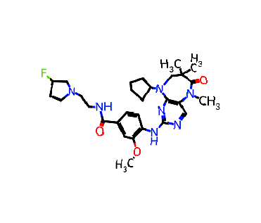 COc1cc(C(=O)NCCN2CCC(F)C2)ccc1Nc1ncc2c(n1)N(C1CCCC1)CC(C)(C)C(=O)N2C